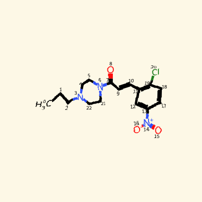 CCCN1CCN(C(=O)/C=C/c2cc([N+](=O)[O-])ccc2Cl)CC1